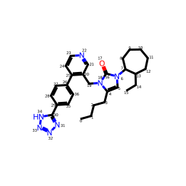 CCCCc1cn(C2CCCCCC2CC)c(=O)n1Cc1cnccc1-c1ccc(-c2nnn[nH]2)cc1